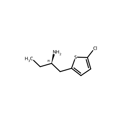 CC[C@@H](N)Cc1ccc(Cl)s1